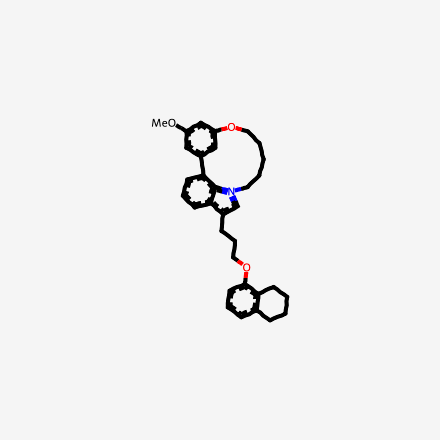 COc1cc2cc(c1)-c1cccc3c(CCCOc4cccc5c4CCCC5)cn(c13)CCCCCO2